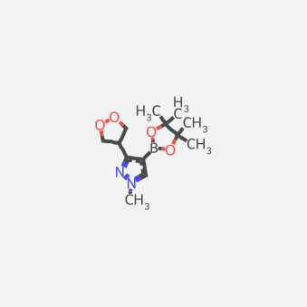 Cn1cc(B2OC(C)(C)C(C)(C)O2)c(C2COOC2)n1